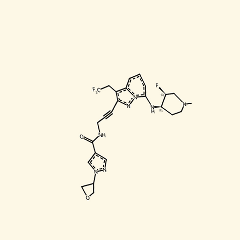 CN1CC[C@@H](Nc2cccc3c(CC(F)(F)F)c(C#CCNC(=O)c4cnn(C5COC5)c4)nn23)[C@@H](F)C1